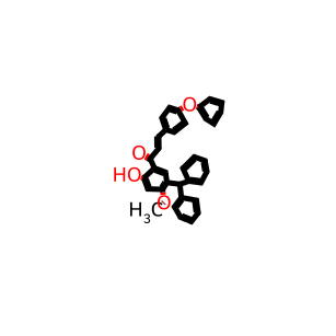 COc1cc(O)c(C(=O)/C=C/c2ccc(Oc3ccccc3)cc2)cc1C(c1ccccc1)c1ccccc1